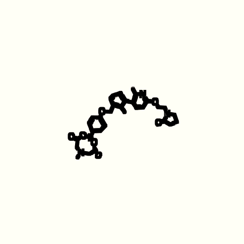 Cc1nc(OCCN2CCCC2=O)ccc1-c1cccc(COc2ccc(B3OC(=O)CN(C)CC(=O)O3)cc2)c1C